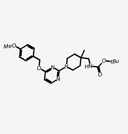 COc1ccc(COc2ccnc(N3CCC(C)(CNC(=O)OC(C)(C)C)CC3)n2)cc1